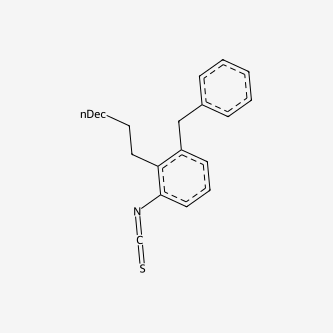 CCCCCCCCCCCCc1c(Cc2ccccc2)cccc1N=C=S